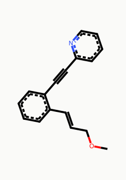 COC/C=C/c1ccccc1C#Cc1ccccn1